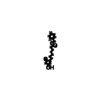 O=C(CCCCCCC1=C[C@H](O)CC1=O)OCc1ccccc1